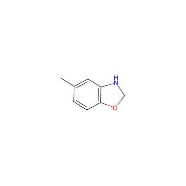 Cc1ccc2c(c1)NCO2